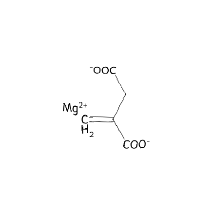 C=C(CC(=O)[O-])C(=O)[O-].[Mg+2]